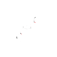 C=CC(=O)OC(C)CC(C)OC(=O)C=C